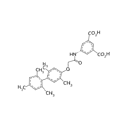 Cc1cc(C)c(-c2cc(C)c(OCC(=O)Nc3cc(C(=O)O)cc(C(=O)O)c3)cc2C)c(C)c1